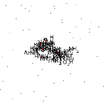 CCCC[C@H](NC(=O)[C@H](CCC(=O)O)NC(=O)[C@@H](CCCNC(=N)N)NC(=O)[C@@H]1CCCN1C(=O)[C@@H]1CCCN1C(=O)[C@H](CS)NC(=O)[C@H](Cc1c[nH]c2ccccc12)NC(=O)[C@H](Cc1c[nH]cn1)NC(=O)[C@@H](Cc1ccccc1)NC(=O)[C@H](Cc1c[nH]cn1)NC(=O)[C@@H]1CCCN1C(=O)[C@H](CS)NC(=O)[C@H](CCCNC(=N)N)NC(C)=O)C(=O)N[C@@H](CCCCN)C(N)=O